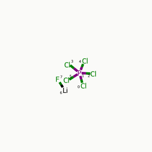 ClP(Cl)(Cl)(Cl)Cl.[Li][F]